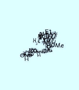 CC[C@@H]1c2nnc(C)n2-c2cnc(Nc3ccc(C(=O)N4CCN(CCNc5ccc6cnn(C7CCC(=O)NC7=O)c(=O)c6c5)CC4)cc3OC)nc2N1CC1CCCCC1